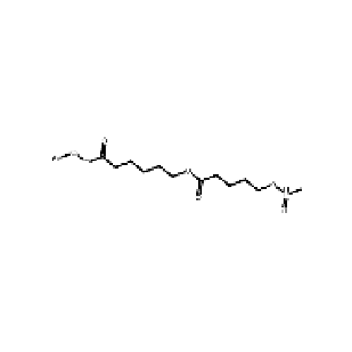 CCCOOC(=O)CCCCCOC(=O)CCCCO[PH](C)=O